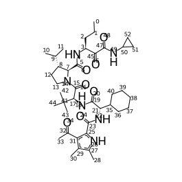 CCC[C@H](NC(=O)[C@@H]1[C@@H](C(C)C)CCN1C(=O)[C@@H](NC(=O)[C@@H](NC(=O)c1[nH]c(C)c(C)c1C(C)=O)C1CCCCC1)C(C)(C)C)C(=O)C(=O)NC1CC1